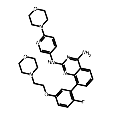 Nc1nc(Nc2ccc(N3CCOCC3)nc2)nc2c(-c3cc(OCCN4CCOCC4)ccc3F)cccc12